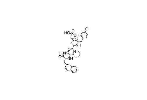 NC(=O)C(Cc1ccc2ccccc2c1)NC(=O)C1CCCCN1C(=O)C(CSCP(=O)(O)O)NC(=O)Cc1ccc(Cl)cc1